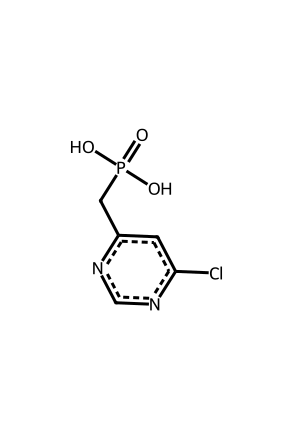 O=P(O)(O)Cc1cc(Cl)ncn1